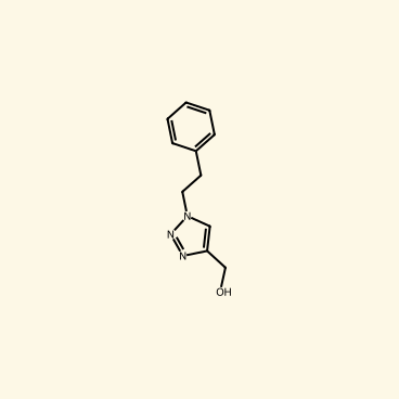 OCc1cn(CCc2ccccc2)nn1